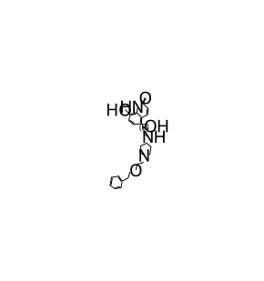 O=c1ccc2c([C@@H](O)CNC3CCN(CCOCCc4ccccc4)CC3)ccc(O)c2[nH]1